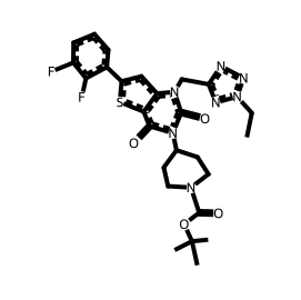 CCn1nnc(Cn2c(=O)n(C3CCN(C(=O)OC(C)(C)C)CC3)c(=O)c3sc(-c4cccc(F)c4F)cc32)n1